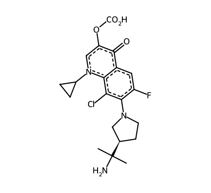 CC(C)(N)[C@@H]1CCN(c2c(F)cc3c(=O)c(OC(=O)O)cn(C4CC4)c3c2Cl)C1